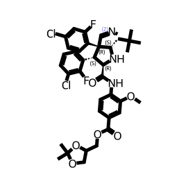 C/N=C\[C@]1(c2ccc(Cl)cc2F)[C@H](CC(C)(C)C)N[C@@H](C(=O)Nc2ccc(C(=O)OCC3COC(C)(C)O3)cc2OC)[C@@H]1c1cccc(Cl)c1F